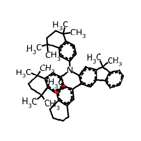 Cc1cc2c(cc1-c1cc3c(cc1N(c1ccc4c(c1)C(C)(C)CCC4(C)C)c1ccc4c(c1)C(C)(C)CCC4(C)C)C(C)(C)c1ccccc1-3)CCCC2